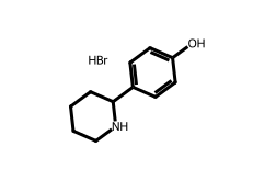 Br.Oc1ccc(C2CCCCN2)cc1